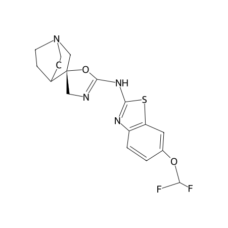 FC(F)Oc1ccc2nc(NC3=NC[C@@]4(CN5CCC4CC5)O3)sc2c1